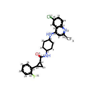 O=C(NC1CCC(Nc2cc(C(F)(F)F)nc3ccc(Cl)cc23)CC1)C1CC1c1ccccc1F